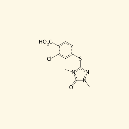 Cn1nc(Sc2ccc(C(=O)O)c(Cl)c2)n(C)c1=O